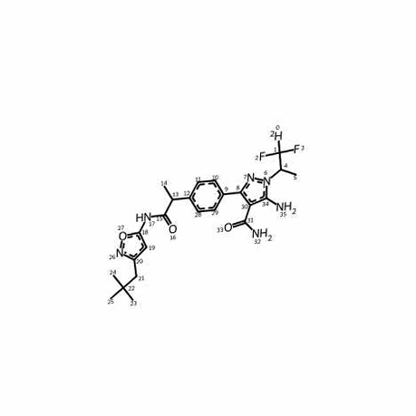 [2H]C(F)(F)C(C)n1nc(-c2ccc(C(C)C(=O)Nc3cc(CC(C)(C)C)no3)cc2)c(C(N)=O)c1N